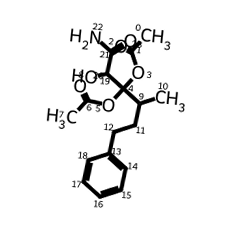 CC(=O)OC(OC(C)=O)(C(C)CCc1ccccc1)C(O)C(N)=O